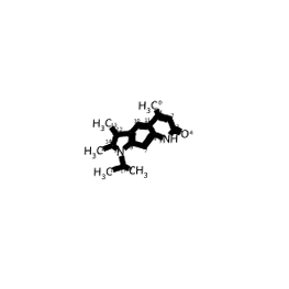 Cc1cc(=O)[nH]c2cc3c(cc12)C(C)C(C)N3C(C)C